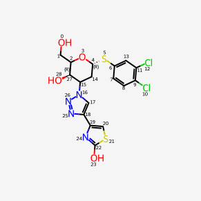 OCC1O[C@H](Sc2ccc(Cl)c(Cl)c2)CC(n2cc(-c3csc(O)n3)nn2)[C@H]1O